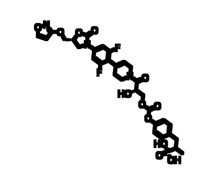 CC(Cc1ccc(OC(=O)OC[C@H](O)C(=O)N2CC=C(c3c(F)cc(N4C[C@H](COc5ccon5)OC4=O)cc3F)CC2)cc1)P(=O)(O)O